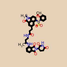 COc1ccccc1N(c1ccc2c3c(cc(CCC(=O)NCCC(C)Nc4cccc5c4C(=O)N(C4CCC(=O)NC4=O)C5=O)cc13)C(=O)N2C)[SH](=O)=O